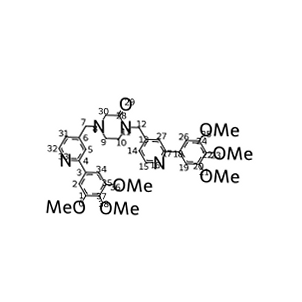 COc1cc(-c2cc(CN3CCN(Cc4ccnc(-c5cc(OC)c(OC)c(OC)c5)c4)C(=O)C3)ccn2)cc(OC)c1OC